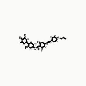 C=CCOc1ccc(C#Cc2cc(F)c(C(F)(F)Oc3ccc(-c4cc(F)c(F)c(F)c4)c(F)c3)c(F)c2)cc1